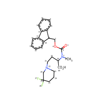 CN(C(=O)OCC1c2ccccc2-c2ccccc21)C(CCN1CCCC(F)(F)C1)C(=O)O